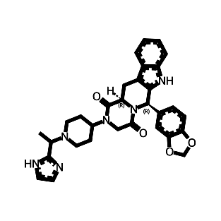 CC(c1ncc[nH]1)N1CCC(N2CC(=O)N3[C@H](c4ccc5c(c4)OCO5)c4[nH]c5ccccc5c4C[C@@H]3C2=O)CC1